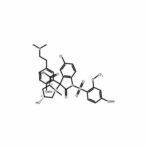 CNC(=O)[C@@H]1C[C@@H](O)C[N+]1(C)C1(c2cc(CCN(C)C)ccc2OC)C(=O)N(S(=O)(=O)c2ccc(OC)cc2OC(F)(F)F)c2ccc(Cl)cc21